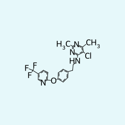 Cc1nc(C)c(Cl)c(NCCc2ccc(Oc3ccc(C(F)(F)F)cn3)cc2)n1